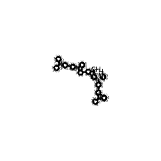 CC1(C)c2ccc(-c3cccc4c3c3ccccc3n4-c3ccc(-c4ccc(N(c5ccccc5)c5ccccc5)cc4)cc3)cc2-c2ccc(N(c3ccc(-c4ccc5c(c4)c4ccccc4n5-c4ccccc4)cc3)c3ccccn3)cc21